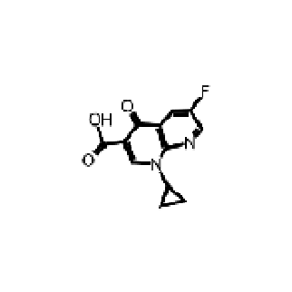 O=C(O)c1cn(C2CC2)c2ncc(F)cc2c1=O